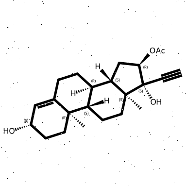 C#C[C@]1(O)[C@H](OC(C)=O)C[C@H]2[C@@H]3CCC4=C[C@@H](O)CC[C@]4(C)[C@H]3CC[C@@]21C